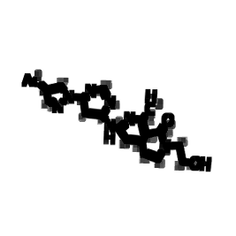 CC(=O)c1cnn(-c2cc(Nc3cc4ccn(CCO)c(=O)c4c(C)n3)ncn2)c1